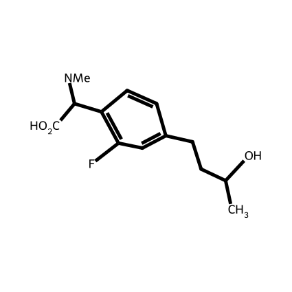 CNC(C(=O)O)c1ccc(CCC(C)O)cc1F